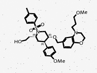 COCCCN1CCOc2ccc(CO[C@H]3CN(S(=O)(=O)c4ccc(C)cc4)[C@@H](CCO)C[C@@H]3c3ccc(OC)cc3)cc21